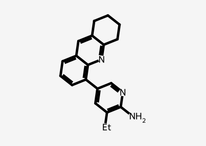 CCc1cc(-c2cccc3cc4c(nc23)CCCC4)cnc1N